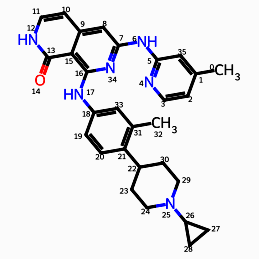 Cc1ccnc(Nc2cc3cc[nH]c(=O)c3c(Nc3ccc(C4CCN(C5CC5)CC4)c(C)c3)n2)c1